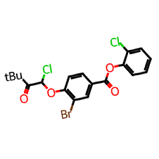 CC(C)(C)C(=O)C(Cl)Oc1ccc(C(=O)Oc2ccccc2Cl)cc1Br